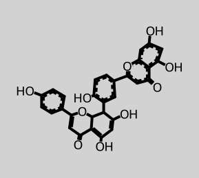 O=C1C=C(c2ccc(O)cc2)OC2C1=C(O)C=C(O)C2c1cc(-c2cc(=O)c3c(O)cc(O)cc3o2)ccc1O